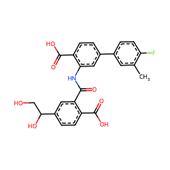 Cc1cc(-c2ccc(C(=O)O)c(NC(=O)c3cc(C(O)CO)ccc3C(=O)O)c2)ccc1F